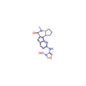 CN(C)C(=O)c1cc2cnc(NC3=COCN3O)nn2c1C1CCCC1